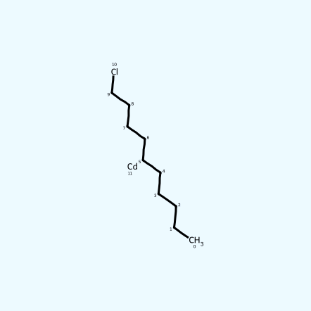 CCCCCCCCCCCl.[Cd]